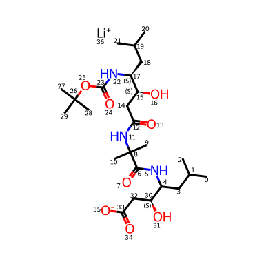 CC(C)CC(NC(=O)C(C)(C)NC(=O)C[C@H](O)[C@H](CC(C)C)NC(=O)OC(C)(C)C)[C@@H](O)CC(=O)[O-].[Li+]